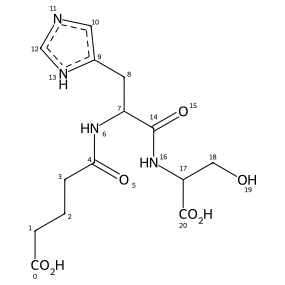 O=C(O)CCCC(=O)NC(Cc1cnc[nH]1)C(=O)NC(CO)C(=O)O